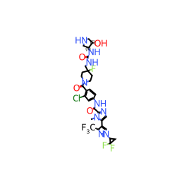 Cn1c(-c2cn(C3CC3(F)F)nc2C(F)(F)F)cnc1C(=O)Nc1ccc(C(=O)N2CCC(F)(CNC(=O)N[C@H]3CNC[C@@H]3O)CC2)c(Cl)c1